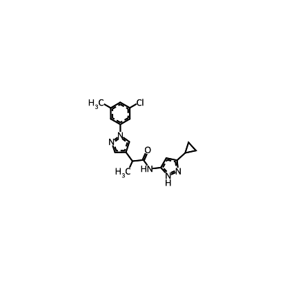 Cc1cc(Cl)cc(-n2cc(C(C)C(=O)Nc3cc(C4CC4)n[nH]3)cn2)c1